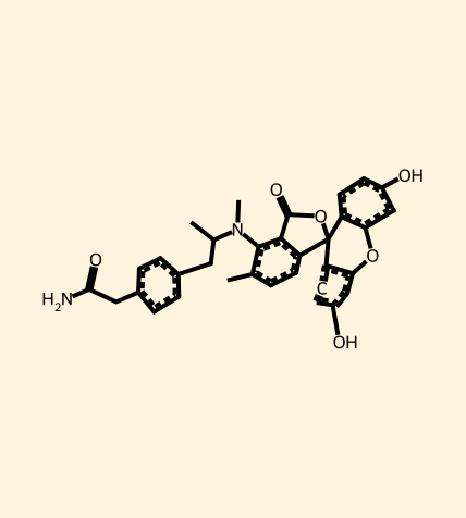 Cc1ccc2c(c1N(C)C(C)Cc1ccc(CC(N)=O)cc1)C(=O)OC21c2ccc(O)cc2Oc2cc(O)ccc21